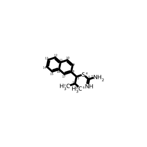 CC(C)C(SC(=N)N)c1ccc2ccccc2c1